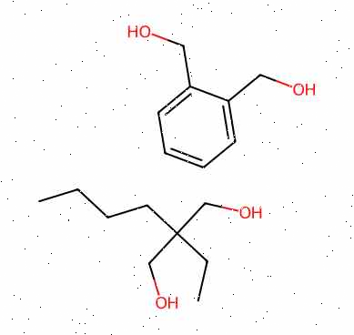 CCCCC(CC)(CO)CO.OCc1ccccc1CO